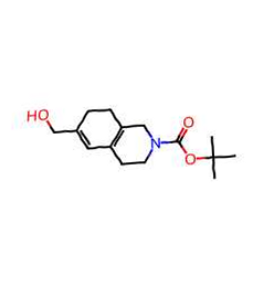 CC(C)(C)OC(=O)N1CCC2=C(CCC(CO)=C2)C1